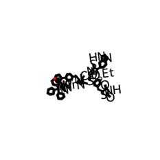 CCCc1nc(CSCCN(C)C(=S)C(COc2ccc(CC3SC(=O)NC3=O)cc2)c2ccc3nc[nH]c3c2)c(C(=O)OCC)n1Cc1ccc(-c2ccccc2-c2nnnn2C(c2ccccc2)(c2ccccc2)c2ccccc2)cc1